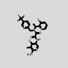 Cc1c(N)ncc(NC(=O)C(=O)N(Cc2ccc(C(F)(F)F)cn2)C(C)c2ncccc2F)c1F